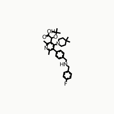 Cc1nc(C)c(C(OC(C)(C)C)C(=O)O)c(N2CCC(C)(C)CC2)c1-c1ccc(CNCc2ccc(F)cc2)cc1